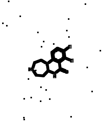 O=C1NC2CCNCCN2c2ccc(Cl)c(Cl)c21